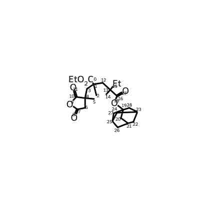 CCOC(=O)C(C)(CC1(C)CC(=O)OC1=O)CC(C)(CC)C(=O)OC12CC3CC(CC(C3)C1)C2